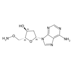 NOC[C@H]1O[C@@H](n2cnc3c(N)ncnc32)C[C@@H]1O